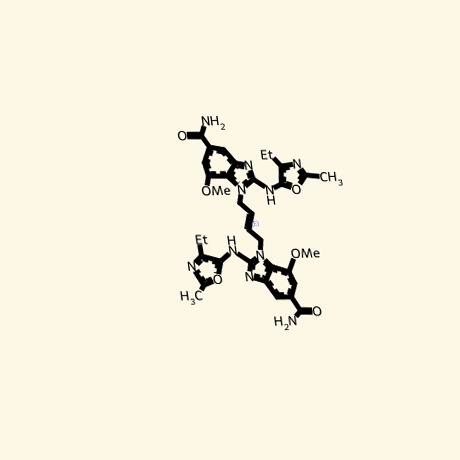 CCc1nc(C)oc1Nc1nc2cc(C(N)=O)cc(OC)c2n1C/C=C/Cn1c(Nc2oc(C)nc2CC)nc2cc(C(N)=O)cc(OC)c21